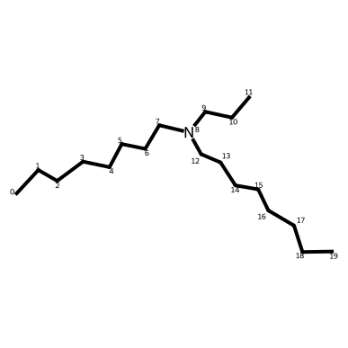 CCCCCCCCN(CCC)CCCCCCCC